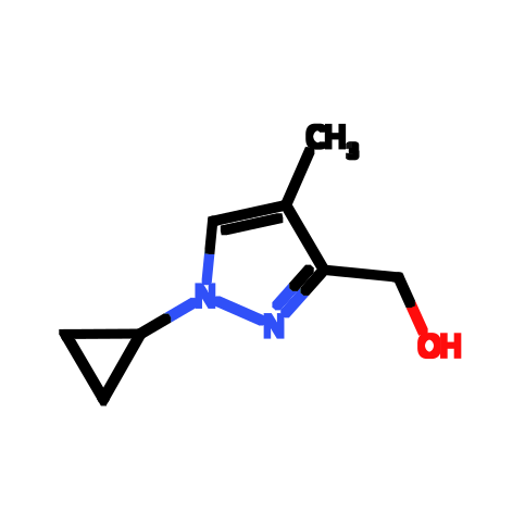 Cc1cn(C2CC2)nc1CO